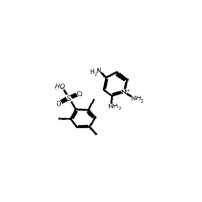 Cc1cc(C)c(S(=O)(=O)O)c(C)c1.Nc1cc[n+](N)c(N)c1